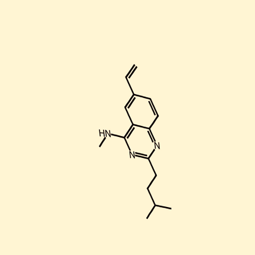 C=Cc1ccc2nc(CCC(C)C)nc(NC)c2c1